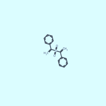 C=C(c1ccccc1)S(=O)(=O)C(=C)c1ccccc1